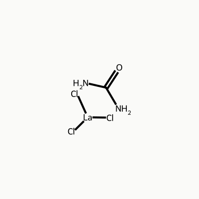 NC(N)=O.[Cl][La]([Cl])[Cl]